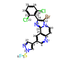 FSn1cc(-c2cnc3ccn4c(Br)c(-c5c(Cl)cccc5Cl)nc4c3c2)cn1